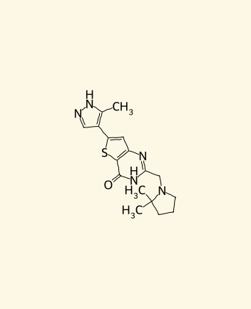 Cc1[nH]ncc1-c1cc2nc(CN3CCCC3(C)C)[nH]c(=O)c2s1